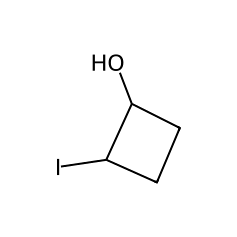 OC1CCC1I